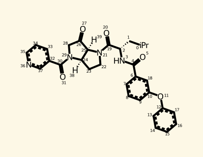 CC(C)C[C@H](NC(=O)c1cccc(Oc2ccccc2)c1)C(=O)N1CC[C@@H]2[C@H]1C(=O)CN2C(=O)c1cccnc1